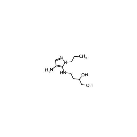 CCCn1ncc(N)c1NCCC(O)CO